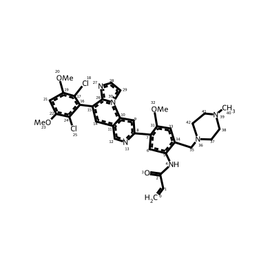 C=CC(=O)Nc1cc(-c2cc3c(cn2)cc(-c2c(Cl)c(OC)cc(OC)c2Cl)c2nccn23)c(OC)cc1CN1CCN(C)CC1